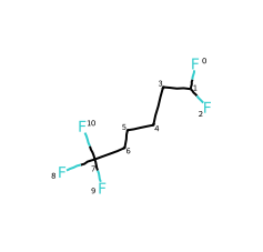 FC(F)CCCCC(F)(F)F